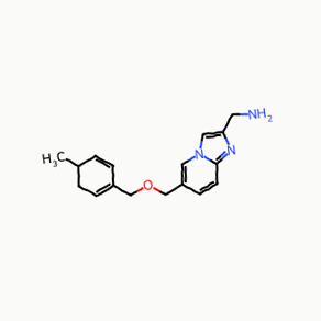 CC1C=CC(COCc2ccc3nc(CN)cn3c2)=CC1